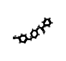 O=C(ON1CCN(Cc2ccc(Br)cc2)CC1)c1ccccc1